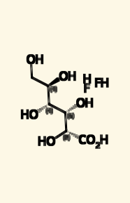 F.F.O=C(O)[C@H](O)[C@@H](O)[C@H](O)[C@H](O)CO